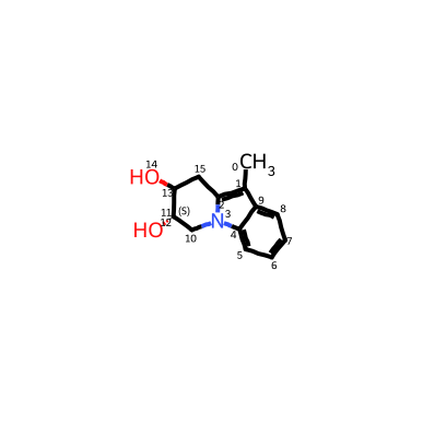 Cc1c2n(c3ccccc13)C[C@H](O)C(O)C2